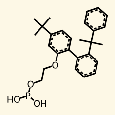 CC(C)(C)c1ccc(-c2ccccc2C(C)(C)c2ccccc2)c(OCCOP(O)O)c1